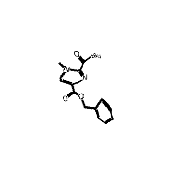 Cn1cc(C(=O)OCc2ccccc2)nc1C(=O)C(C)(C)C